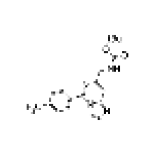 CC(C)(C)OC(=O)NCc1cc2nccn2c(-c2ccc(C(F)(F)F)cc2)n1